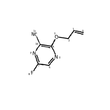 C=CCOc1ncc(F)nc1C#N